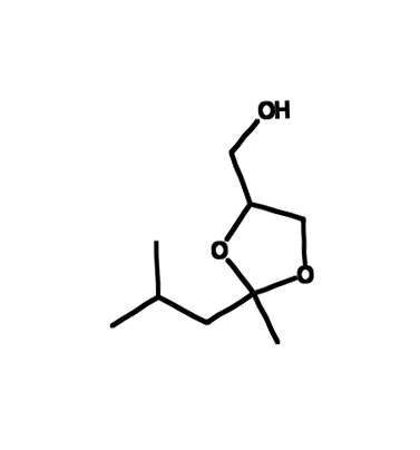 CC(C)CC1(C)OCC(CO)O1